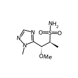 CO[C@H](c1ncnn1C)[C@H](C)S(N)(=O)=O